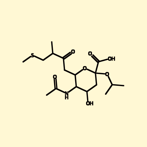 CSCC(C)C(=O)CC1OC(OC(C)C)(C(=O)O)CC(O)C1NC(C)=O